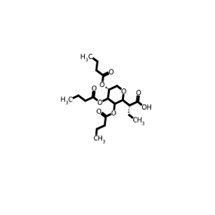 CCCC(=O)OC1C(OC(=O)CCC)[C@H](OC(=O)CCC)COC1[C@@H](CC)C(=O)O